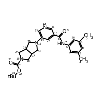 Cc1cc(C)cc(NC(=O)c2cncc(N3CC4CN(C(=O)OC(C)(C)C)CC4C3)c2)c1